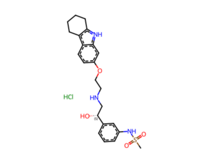 CS(=O)(=O)Nc1cccc([C@H](O)CNCCOc2ccc3c4c([nH]c3c2)CCCC4)c1.Cl